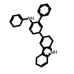 C1=CCCC(NC2=CCC(C3=Cc4c([nH]c5c4CCC=C5)CC3)C=C2c2ccccc2)=C1